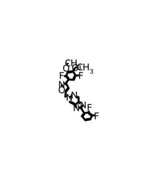 COc1c(F)cc(-c2cc(Cn3cc4nc(-c5cccc(F)c5F)nc-4cn3)on2)c(F)c1OC